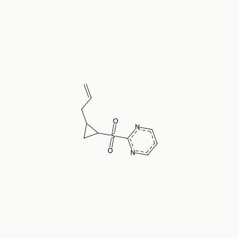 C=CCC1CC1S(=O)(=O)c1ncccn1